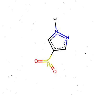 CCn1cc([SH](=O)=O)cn1